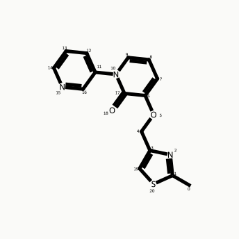 Cc1nc(COc2cccn(-c3cccnc3)c2=O)cs1